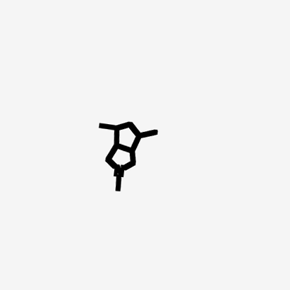 CC1CC(C)C2CN(C)CC12